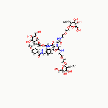 CC(=O)NC1C(OCCOCCNC(=O)CN(CC(=O)NCCOCCOC2OC(CO)C(O)C(O)C2NC(C)=O)C(Cc2ccc(CNC(=O)[C@H]3CC[C@@H](OC(C)(C)C)CC3)cc2)C(=O)NCCOCCOC2OC(CO)C(O)C(O)C2NC(C)=O)OC(CO)C(O)C1O